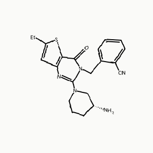 CCc1cc2nc(N3CCC[C@@H](N)C3)n(Cc3ccccc3C#N)c(=O)c2s1